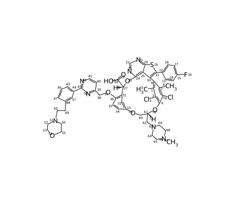 Cc1c(Cl)c2c(Cl)c(C)c1-c1c(-c3ccc(F)cc3)sc3ncnc(c13)O[C@@H](C(=O)O)c1cc(ccc1OCc1ccnc(-c3cccc(CCN4CCOCC4)c3)n1)OC[C@@H](CN1CCN(C)CC1)O2